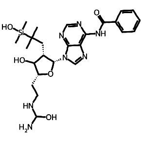 CC(C)(C[C@H]1C(O)[C@@H](CCNC(N)O)O[C@H]1n1cnc2c(NC(=O)c3ccccc3)ncnc21)[Si](C)(C)O